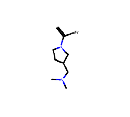 C=C(C(C)C)N1CCC(CN(C)C)C1